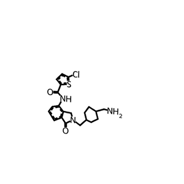 NCC1CCC(CN2Cc3c(NC(=O)c4ccc(Cl)s4)cccc3C2=O)CC1